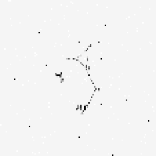 I.PCC1CC1